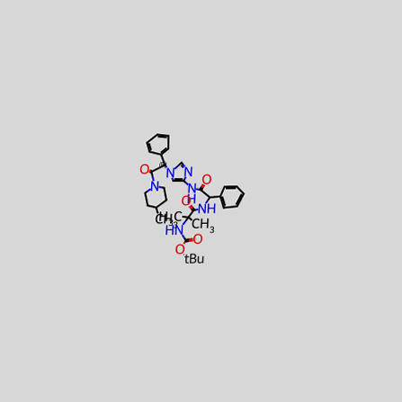 CC1CCN(C(=O)[C@@H](c2ccccc2)n2cnc(NC(=O)C(NC(=O)C(C)(C)NC(=O)OC(C)(C)C)c3ccccc3)c2)CC1